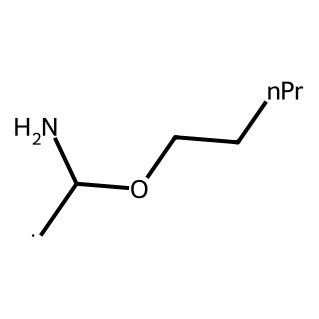 [CH2]C(N)OCCCCC